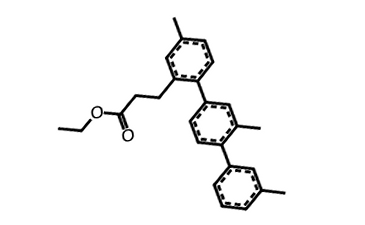 CCOC(=O)CCc1cc(C)ccc1-c1ccc(-c2cccc(C)c2)c(C)c1